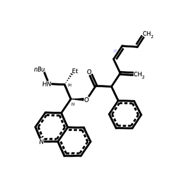 C=C/C=C\C(=C)C(C(=O)O[C@@H](c1ccnc2ccccc12)[C@@H](CC)NCCCC)c1ccccc1